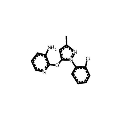 Cc1cc(Oc2ncccc2N)n(-c2ccccc2Cl)n1